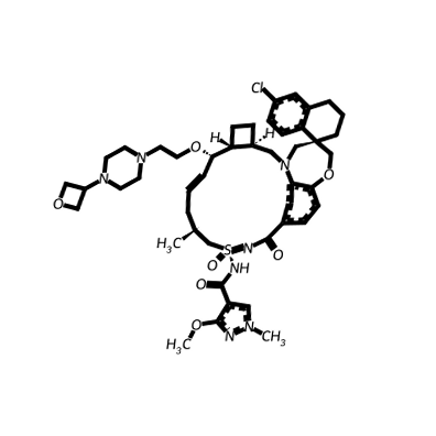 COc1nn(C)cc1C(=O)N[S@@]1(=O)=NC(=O)c2ccc3c(c2)N(C[C@@H]2CC[C@H]2[C@@H](OCCN2CCN(C4COC4)CC2)/C=C/C[C@H](C)C1)C[C@@]1(CCCc2cc(Cl)ccc21)CO3